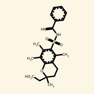 Cc1c(C)c(S(=O)(=O)NC(=N)c2ccccc2)c(C)c2c1OC(C)(CC(=O)O)CC2